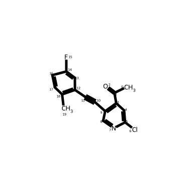 CC(=O)c1cc(Cl)ncc1C#Cc1cc(F)ccc1C